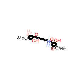 Bc1cc(C(=O)CCCCCCNC(=O)c2cc(Br)c(OC)cc2O)c(O)cc1OC